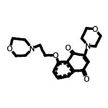 O=C1C=C(N2CCOCC2)C(=O)c2c(OCCN3CCOCC3)cccc21